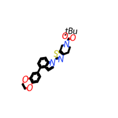 CC(C)(C)OC(=O)N1CCc2nc(-n3ccc4c(-c5ccc6c(c5)OCCO6)cccc43)sc2C1